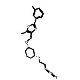 Cc1cccc(-c2nc(CO[C@H]3CCC[C@@H](OCCN=[N+]=[N-])C3)c(C)o2)c1